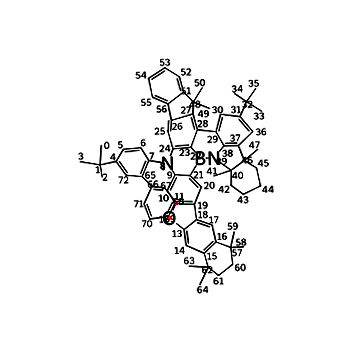 CC(C)(C)c1ccc(N2c3cc4oc5cc6c(cc5c4cc3B3c4c2cc2c(c4-c4cc(C(C)(C)C)cc5c4N3C3(C)CCCCC53C)C(C)(C)c3ccccc3-2)C(C)(C)CCC6(C)C)c(-c2ccccc2)c1